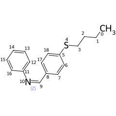 CCCCSc1ccc(/C=N\c2ccccc2)cc1